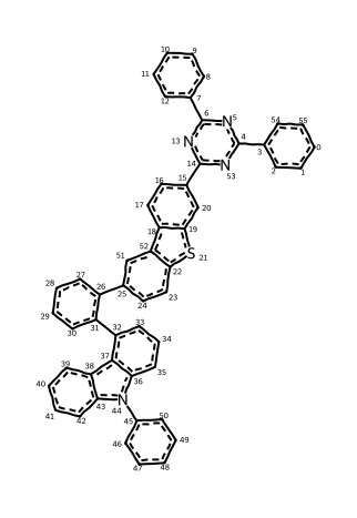 c1ccc(-c2nc(-c3ccccc3)nc(-c3ccc4c(c3)sc3ccc(-c5ccccc5-c5cccc6c5c5ccccc5n6-c5ccccc5)cc34)n2)cc1